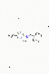 CC(C)CN1CCN(CC(C)C)C1